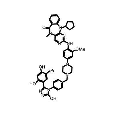 COc1cc(N2CCN(Cc3ccc(-n4c(O)nnc4-c4cc(C(C)C)c(O)cc4O)cc3)CC2)ccc1Nc1ncc2c(n1)N(C1CCCC1)c1ccccc1C(=O)N2C